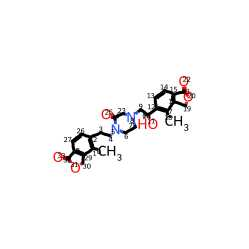 Cc1c(CCN2CCN(C[C@H](O)c3ccc4c(c3C)COC4=O)CC2=O)ccc2c1COC2=O